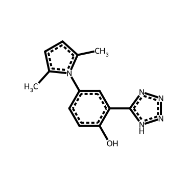 Cc1ccc(C)n1-c1ccc(O)c(-c2nnn[nH]2)c1